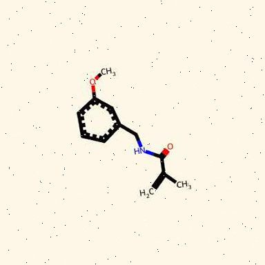 C=C(C)C(=O)NCc1cccc(OC)c1